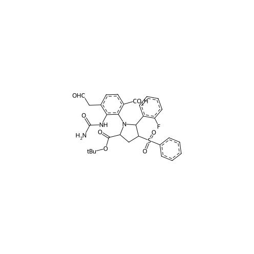 CC(C)(C)OC(=O)C1CC(S(=O)(=O)c2ccccc2)C(c2ccccc2F)N1c1c(C(=O)O)ccc(CC=O)c1NC(N)=O